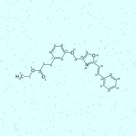 CCOC(=O)CCc1cccc(OCc2coc(C=Cc3ccccc3)n2)c1